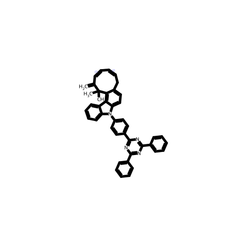 C=C1/C=C\C=C/Cc2ccc3c(c2C1(C)C)c1ccccc1n3-c1ccc(-c2nc(-c3ccccc3)nc(-c3ccccc3)n2)cc1